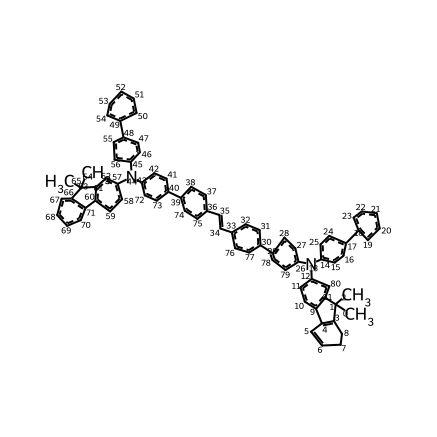 CC1(C)C2=C(C=CCC2)c2ccc(N(c3ccc(-c4ccccc4)cc3)c3ccc(-c4ccc(/C=C/c5ccc(-c6ccc(N(c7ccc(-c8ccccc8)cc7)c7ccc8c(c7)C(C)(C)c7ccccc7-8)cc6)cc5)cc4)cc3)cc21